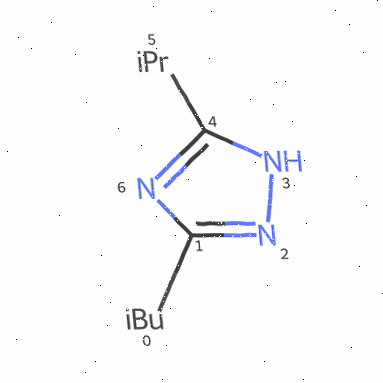 CCC(C)c1n[nH]c(C(C)C)n1